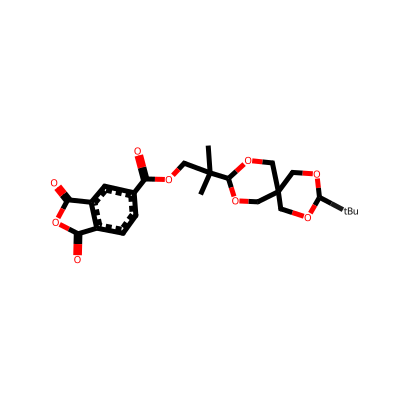 CC(C)(C)C1OCC2(CO1)COC(C(C)(C)COC(=O)c1ccc3c(c1)C(=O)OC3=O)OC2